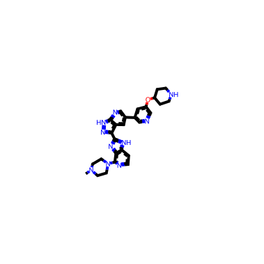 CN1CCN(c2nccc3[nH]c(-c4n[nH]c5ncc(-c6cncc(OC7CCNCC7)c6)cc45)nc23)CC1